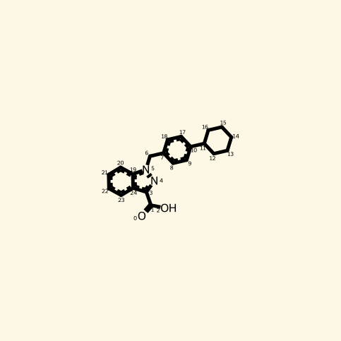 O=C(O)c1nn(Cc2ccc(C3CCCCC3)cc2)c2ccccc12